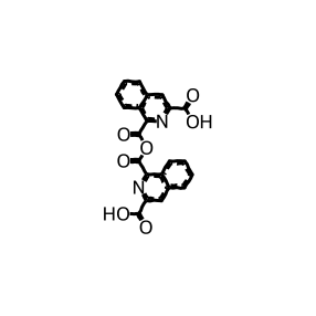 O=C(O)c1cc2ccccc2c(C(=O)OC(=O)c2nc(C(=O)O)cc3ccccc23)n1